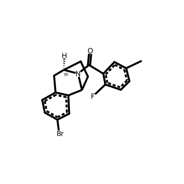 Cc1ccc(F)c(C(=O)N2C3CC[C@@H]2Cc2ccc(Br)cc23)c1